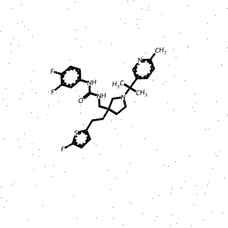 Cc1ccc(C(C)(C)N2CCC(CCc3ccc(F)s3)(CNC(=O)Nc3ccc(F)c(F)c3)C2)cn1